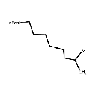 CCCCCCCCCCCC(C)[S]